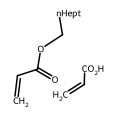 C=CC(=O)O.C=CC(=O)OCCCCCCCC